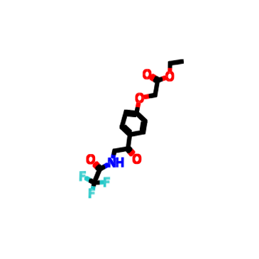 CCOC(=O)COc1ccc(C(=O)CNC(=O)C(F)(F)F)cc1